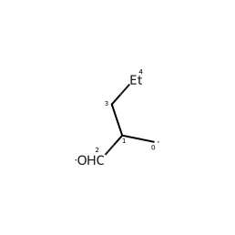 [CH2]C([C]=O)CCC